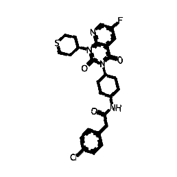 O=C(Cc1ccc(Cl)cc1)NC1CCC(n2c(=O)c3cc(F)cnc3n(C3CCSCC3)c2=O)CC1